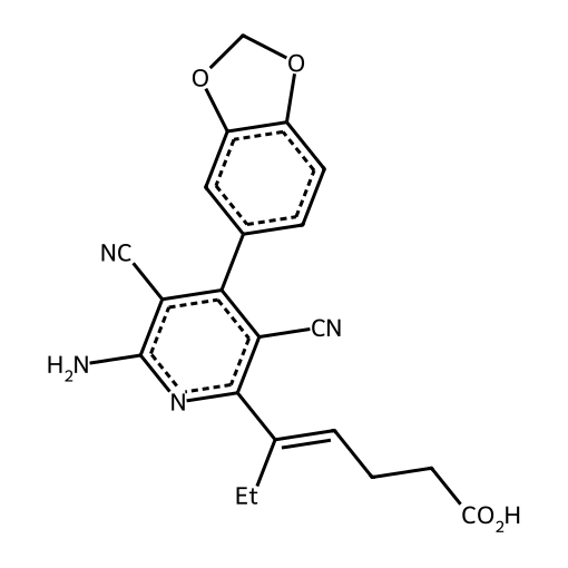 CCC(=CCCC(=O)O)c1nc(N)c(C#N)c(-c2ccc3c(c2)OCO3)c1C#N